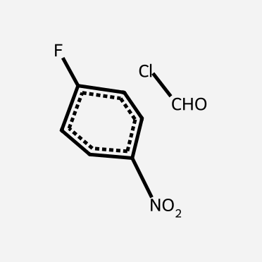 O=CCl.O=[N+]([O-])c1ccc(F)cc1